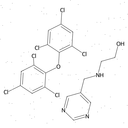 Clc1cc(Cl)c(Oc2c(Cl)cc(Cl)cc2Cl)c(Cl)c1.OCCNCc1cncnc1